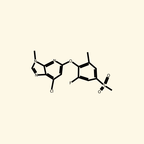 Cc1cc(S(C)(=O)=O)cc(F)c1Oc1cc(Cl)c2ncn(C)c2n1